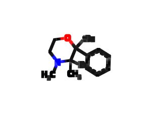 CCC(C)C1(C)N(C)CCOC1(c1ccccc1)C(C)(C)C